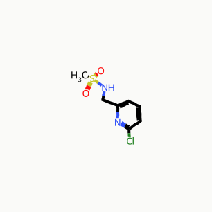 CS(=O)(=O)NCc1cccc(Cl)n1